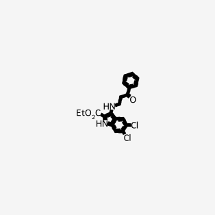 CCOC(=O)c1[nH]c2cc(Cl)c(Cl)cc2c1NCCC(=O)c1ccccc1